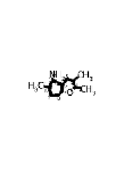 CC(=O)C(C)Cc1cccc(C)c1N